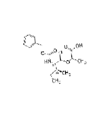 CC[C@H](C)[C@H](NC(=O)OCc1ccccc1)C(=O)OC(C)C(=O)O